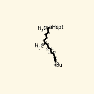 [CH2]CCCCCCC(C)CCCCC(C)CCCCCC#CC(C)C[CH2]